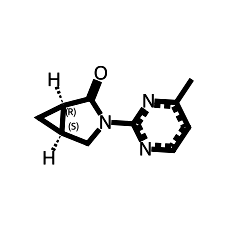 Cc1ccnc(N2C[C@H]3C[C@H]3C2=O)n1